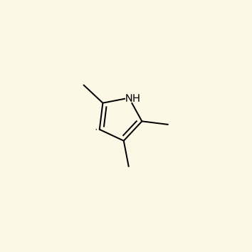 Cc1[c]c(C)c(C)[nH]1